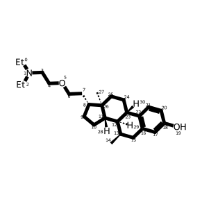 CCN(CC)CCOCC[C@H]1CC[C@H]2[C@@H]3[C@H](C)Cc4cc(O)ccc4[C@H]3CC[C@]12C